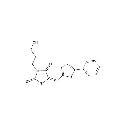 O=C1/C(=C\c2ccc(-c3ccccc3)o2)SC(=S)N1CCCO